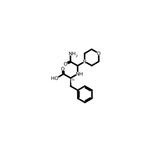 NC(=O)C(N[C@@H](Cc1ccccc1)C(=O)O)N1CCOCC1